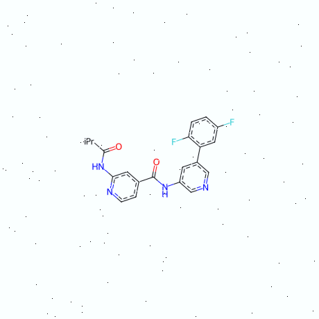 CC(C)C(=O)Nc1cc(C(=O)Nc2cncc(-c3cc(F)ccc3F)c2)ccn1